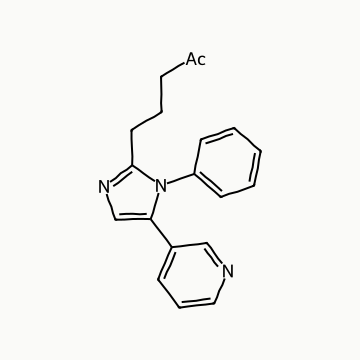 CC(=O)CCCc1ncc(-c2cccnc2)n1-c1ccccc1